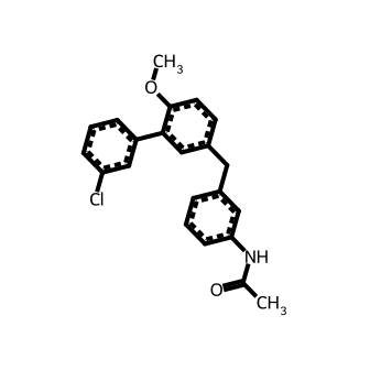 COc1ccc(Cc2cccc(NC(C)=O)c2)cc1-c1cccc(Cl)c1